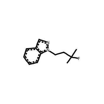 CC(C)(F)CCn1ncc2ccccc21